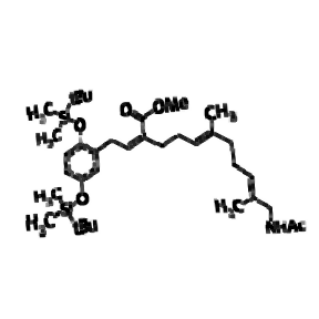 COC(=O)C(=CCc1cc(O[Si](C)(C)C(C)(C)C)ccc1O[Si](C)(C)C(C)(C)C)CC/C=C(\C)CC/C=C(\C)CNC(C)=O